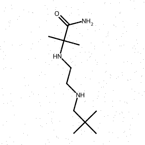 CC(C)(C)CNCCNC(C)(C)C(N)=O